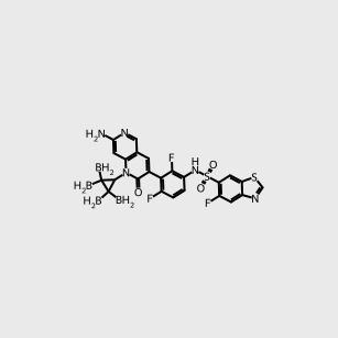 BC1(B)C(n2c(=O)c(-c3c(F)ccc(NS(=O)(=O)c4cc5scnc5cc4F)c3F)cc3cnc(N)cc32)C1(B)B